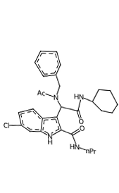 CCCNC(=O)c1[nH]c2cc(Cl)ccc2c1C(C(=O)NC1CCCCC1)N(Cc1ccccc1)C(C)=O